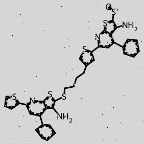 Nc1c(SCCCCc2csc(-c3cc(-c4ccccc4)c4c(N)c([S+]=O)sc4n3)c2)sc2nc(-c3cccs3)cc(-c3ccccc3)c12